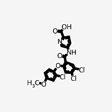 COc1ccc(Oc2cc(Cl)c(Cl)cc2C(=O)Nc2ccc(C(=O)O)nc2)c(Cl)c1